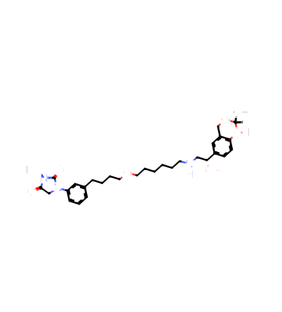 CN1C(=O)CN(c2cccc(CCCCOCCCCCCNC[C@@H](O)c3ccc4c(c3)COC(C)(C)O4)c2)C1=O